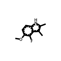 COc1ccc2[nH]c(C)c(C)c2c1F